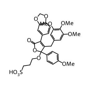 COc1ccc(C2(OCCCS(=O)(=O)O)OC(=O)C(c3ccc4c(c3)OCO4)=C2Cc2cc(OC)c(OC)c(OC)c2)cc1